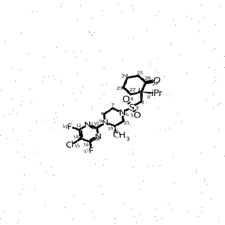 CC(C)[C@@]1(CS(=O)(=O)N2CCN(c3nc(F)c(Cl)c(F)n3)[C@H](C)C2)CCCCC1=O